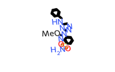 COc1nc2c(S(N)(=O)=O)cccc2n1-c1nncc(NCc2ccccc2)n1